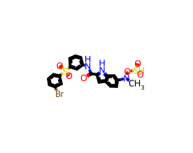 CN(O[SH](=O)=O)c1ccc2cc(C(=O)Nc3cccc(S(=O)(=O)c4cccc(Br)c4)c3)[nH]c2c1